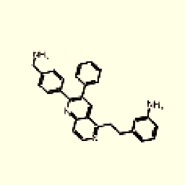 NCc1ccc(-c2nc3ccnc(CCc4cccc(N)c4)c3cc2-c2ccccc2)cc1